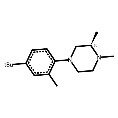 Cc1cc(C(C)(C)C)ccc1N1CCN(C)[C@H](C)C1